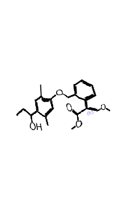 CCC(O)c1cc(C)c(OCc2ccccc2/C(=C\OC)C(=O)OC)cc1C